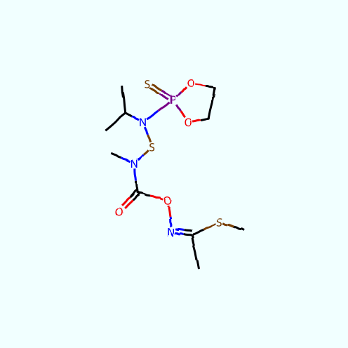 CSC(C)=NOC(=O)N(C)SN(C(C)C)P1(=S)OCCO1